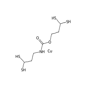 O=C(NCCC(S)S)OCCC(S)S.[Cu]